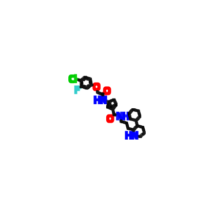 O=C(COc1ccc(Cl)c(F)c1)NC12CC(C1)C(C(=O)NCCCC1NCCCC1C1CCCCC1)C2